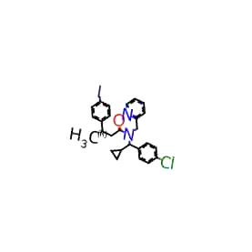 C[C@H](CC(=O)N(Cc1ccccn1)C(c1ccc(Cl)cc1)C1CC1)c1ccc(I)cc1